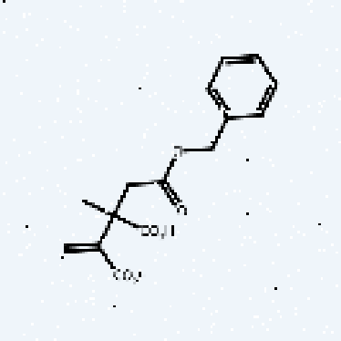 C=C(C(=O)O)C(C)(CC(=O)OCc1ccccc1)C(=O)O